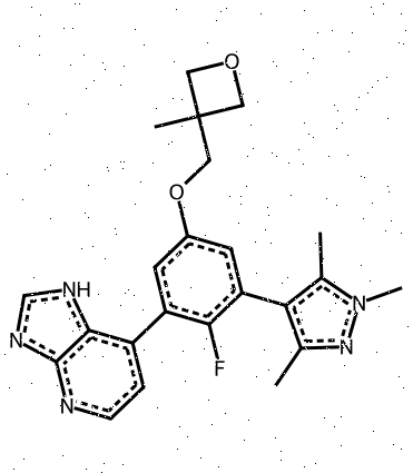 Cc1nn(C)c(C)c1-c1cc(OCC2(C)COC2)cc(-c2ccnc3nc[nH]c23)c1F